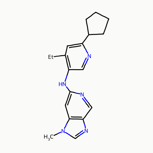 CCc1cc(C2CCCC2)ncc1Nc1cc2c(cn1)ncn2C